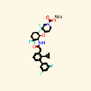 CC(C)(C)OC(=O)N1CC[C@H](O[C@H]2CCCC(F)(F)[C@@H]2NC(=O)Cc2cccc(-c3cc(F)cc(F)c3)c2C2CC2)C(F)(F)C1